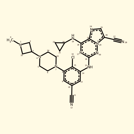 CN1CC(N2CCN(c3cc(C#N)cc(Nc4nc(NC5CC5)c5ncc(C#N)n5n4)c3Cl)CC2)C1